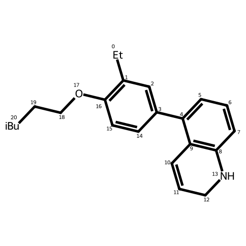 CCc1cc(-c2cccc3c2C=CCN3)ccc1OCCC(C)CC